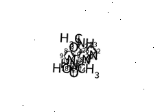 CNC(=O)c1c(-c2ccccn2)c(C(C)NC(=O)O)nc2ncccc12